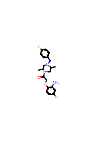 CC1CN(C(=O)COc2ccc(Cl)cc2N)C(C)CN1Cc1ccc(F)cc1